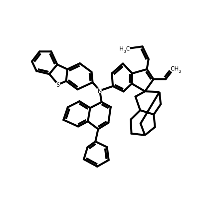 C=CC1=C(/C=C\C)c2ccc(N(c3ccc4c(c3)sc3ccccc34)c3ccc(-c4ccccc4)c4ccccc34)cc2C12CC1CCC3CC1CC2C3